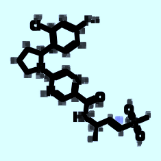 C[C@H](/C=C/S(C)(=O)=O)NC(=O)c1cnc(N2CCCC2c2ccc(F)cc2Cl)cn1